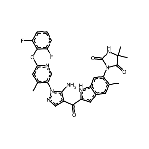 Cc1cc2cc(C(=O)c3cnn(-c4cnc(Oc5c(F)cccc5F)cc4C)c3N)[nH]c2cc1N1C(=O)NC(C)(C)C1=O